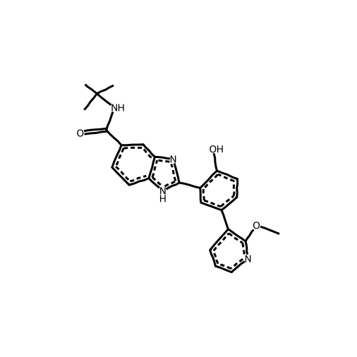 COc1ncccc1-c1ccc(O)c(-c2nc3cc(C(=O)NC(C)(C)C)ccc3[nH]2)c1